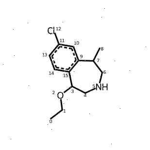 CCOC1CNCC(C)c2cc(Cl)ccc21